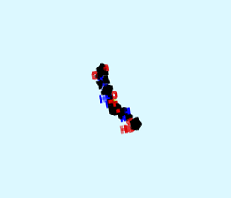 C[C@H]1CN(C(=O)C2CCOC2)CCN1[C@H]1C[C@@H](C(=O)Nc2nc3ccc(-c4cnc(CO[C@H]5CCC[C@@H]5O)nc4)cc3s2)C1